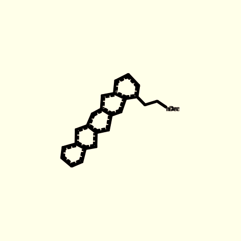 CCCCCCCCCCCCc1cccc2cc3cc4cc5ccccc5cc4cc3cc12